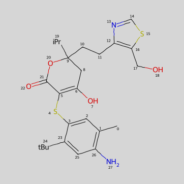 Cc1cc(SC2=C(O)CC(CCc3ncsc3CO)(C(C)C)OC2=O)c(C(C)(C)C)cc1N